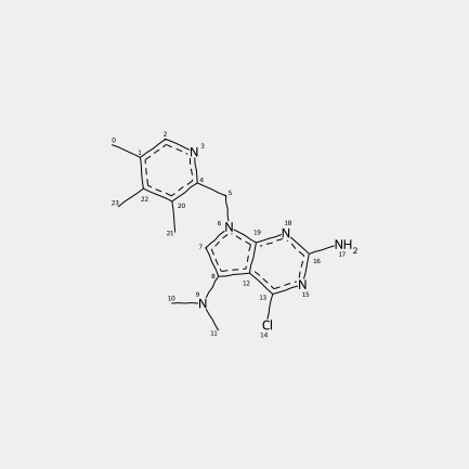 Cc1cnc(Cn2cc(N(C)C)c3c(Cl)nc(N)nc32)c(C)c1C